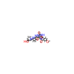 COc1ccc2c(c1)C(=O)N(C[C@@]1(c3cc4nc(N5CCC[C@@H](O)C5)ccc4o3)NC(=O)NC1=O)C2